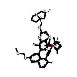 COCOc1cc(-c2nc(N3CC[C@@H]3C)c3ncc(OC[C@@]45CCCN4C[C@H](F)C5)nc3c2F)c2c(C#C[Si](C(C)C)(C(C)C)C(C)C)c(F)ccc2c1